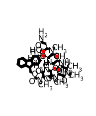 CC(C)C[C@H](NC(=O)[C@H](C)N(C)C(=O)OCC1c2ccccc2-c2ccccc21)C(=O)N(C)CC(=O)N(C)[C@@H](C)C(=O)N[C@@H](C)C(=O)N(C)[C@H](C(=O)N(C)[C@@H](CC(N)=O)C(=O)O)C(C)C